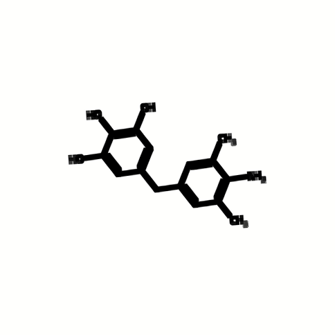 Cc1cc(Cc2cc(O)c(O)c(O)c2)cc(C)c1N